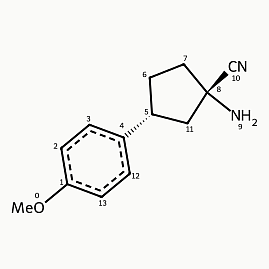 COc1ccc([C@@H]2CC[C@@](N)(C#N)C2)cc1